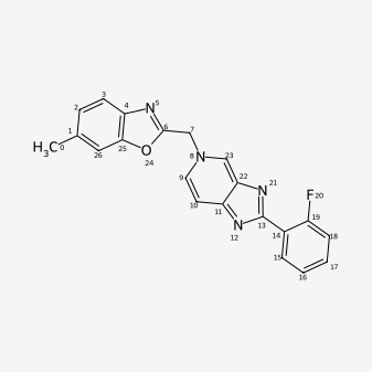 Cc1ccc2nc(Cn3ccc4nc(-c5ccccc5F)nc-4c3)oc2c1